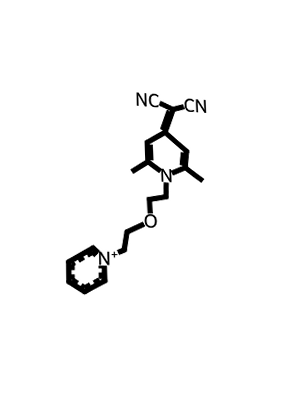 CC1=CC(=C(C#N)C#N)C=C(C)N1CCOCC[n+]1ccccc1